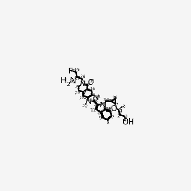 C[C@@H](CCO)Oc1cccc2cc(-c3nc4cc5c(cc4n3C)CCN(C[C@H](N)CF)C5=O)n(CC3CC3)c12